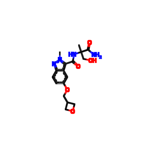 Cn1nc2ccc(OCC3COC3)cc2c1C(=O)NC(C)(CO)C(N)=O